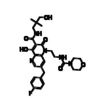 CC(C)(CO)CNC(=O)c1c(O)c2ncc(Cc3ccc(F)cc3)cc2n(CCNC(=O)N2CCOCC2)c1=O